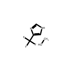 CO.FC(F)(F)c1c[nH]cn1